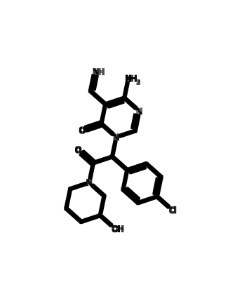 N=Cc1c(N)ncn(C(C(=O)N2CCCC(O)C2)c2ccc(Cl)cc2)c1=O